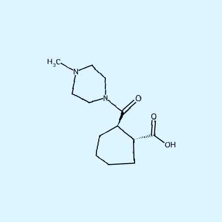 CN1CCN(C(=O)[C@@H]2CCCC[C@H]2C(=O)O)CC1